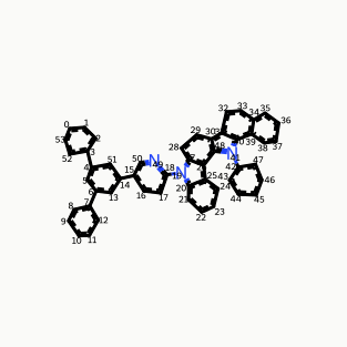 c1ccc(-c2cc(-c3ccccc3)cc(-c3ccc(-n4c5ccccc5c5c4ccc4c6ccc7ccccc7c6n(-c6ccccc6)c45)nc3)c2)cc1